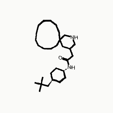 CC(C)(C)C[C@H]1CC[C@H](NC(=O)CC2CNCC3(CCCCCCCCCCC3)C2)CC1